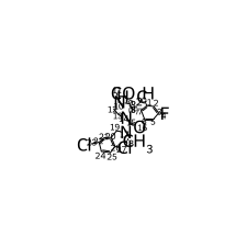 Cc1cc(F)ccc1[C@H]1CN(C(=O)O)CCN1C(=O)N(C)Cc1cc(Cl)ccc1Cl